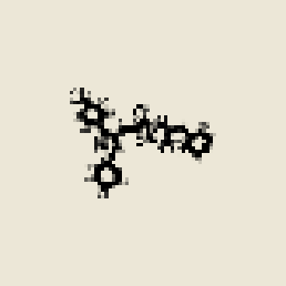 O=c1nc2s/c(=C\c3cn(-c4ccccc4)nc3-c3ccc(Cl)cc3)c(=O)n2nc1Cc1ccccc1